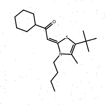 CCCCN1C(C)=C(C(C)(C)C)S/C1=C\C(=O)C1CCCCC1